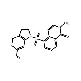 Cn1ccc2c(S(=O)(=O)N3CCC4=C3C=C(P)CC4)cccc2c1=O